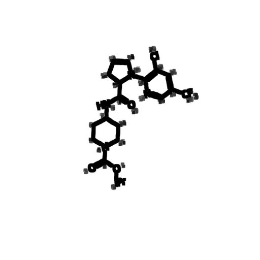 CC(C)OC(=O)N1CCC(NC(=O)C2CC=CN2c2ncc(C(F)(F)F)cc2Cl)CC1